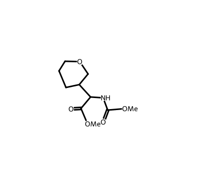 COC(=O)NC(C(=O)OC)C1CCCOC1